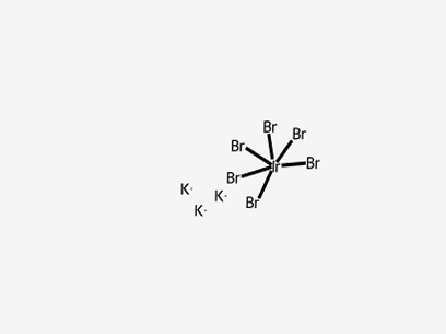 [Br][Ir]([Br])([Br])([Br])([Br])[Br].[K].[K].[K]